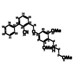 COCCNCc1c(OC)cc(OCc2cccc(-c3ccccc3)c2C#N)cc1OC